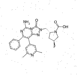 Cc1cc(-c2c(-c3ccccc3)nc(N)n3c(=O)n(C[C@H]4C[C@H](F)CN4C(=O)O)nc23)cc(C)n1